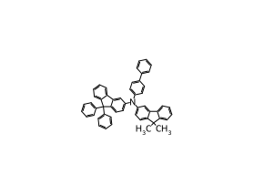 CC1(C)c2ccccc2-c2cc(N(c3ccc(-c4ccccc4)cc3)c3ccc4c(c3)-c3ccccc3C4(c3ccccc3)c3ccccc3)ccc21